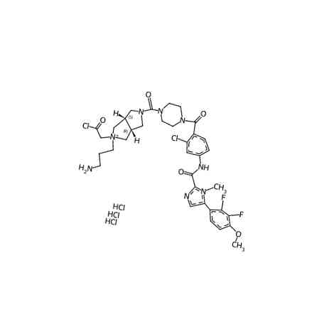 COc1ccc(-c2cnc(C(=O)Nc3ccc(C(=O)N4CCN(C(=O)N5C[C@@H]6C[N+](CCCN)(CC(=O)Cl)C[C@@H]6C5)CC4)c(Cl)c3)n2C)c(F)c1F.Cl.Cl.Cl